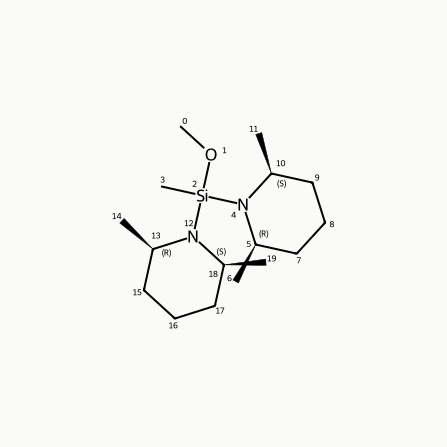 CO[Si](C)(N1[C@H](C)CCC[C@@H]1C)N1[C@H](C)CCC[C@@H]1C